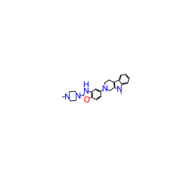 CN1CCN(C2Nc3cc(N4CCc5c(n(C)c6ccccc56)C4)ccc3O2)CC1